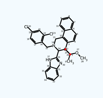 CCOc1ccc2ccccc2c1CN(Cc1ccc(Cl)cc1Cl)C(CCOC)c1nc2ccccc2[nH]1